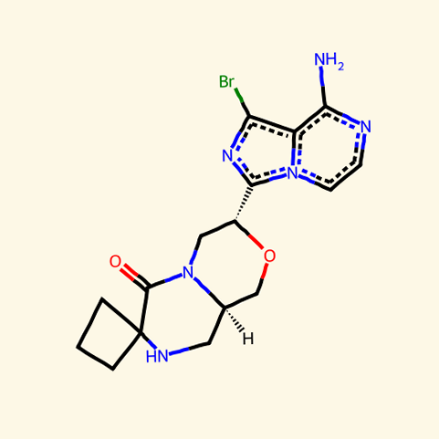 Nc1nccn2c([C@H]3CN4C(=O)C5(CCC5)NC[C@@H]4CO3)nc(Br)c12